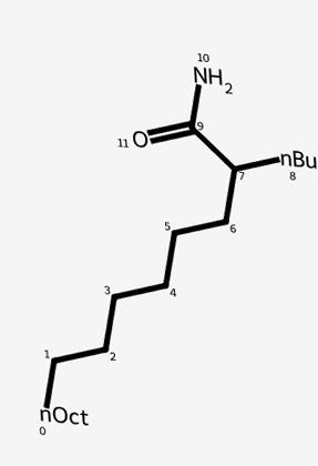 CCCCCCCCCCCCCCC(CCCC)C(N)=O